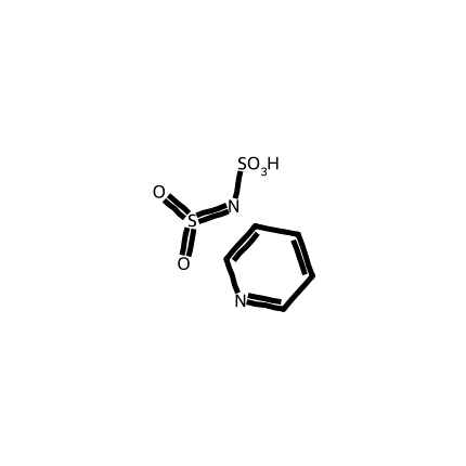 O=S(=O)=NS(=O)(=O)O.c1ccncc1